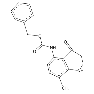 Cc1ccc(NC(=O)OCc2ccccc2)c2c1NCCC2=O